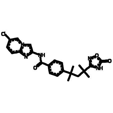 CC(C)(CC(C)(C)c1noc(=O)[nH]1)c1ccc(C(=O)Nc2cn3cc(Cl)ccc3n2)cc1